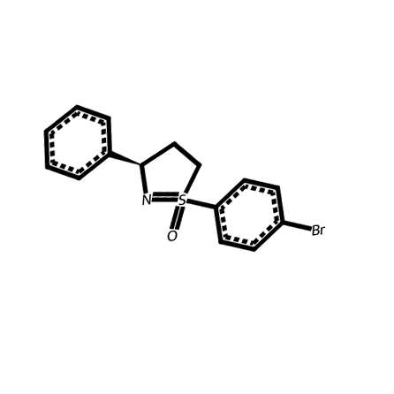 O=S1(c2ccc(Br)cc2)=N[C@@H](c2ccccc2)CC1